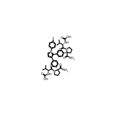 CC(C)[C@H](NC(=O)O)C(=O)N1CCC[C@@]1(C(N)=O)c1ccc(-c2ccn(-c3ccc(F)cc3)c2-c2ccc([C@]3(C(N)=O)CCCN3C(=O)[C@@H](NC(=O)O)C(C)C)cc2)cc1